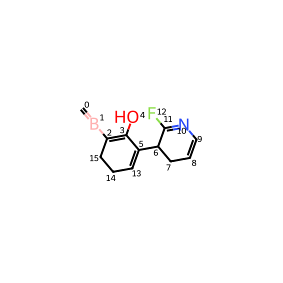 C=BC1=C(O)C(C2CC=CN=C2F)=CCC1